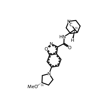 CO[C@H]1CCN(c2ccc3c(C(=O)N[C@@H]4CN5CCC4CC5)noc3c2)C1